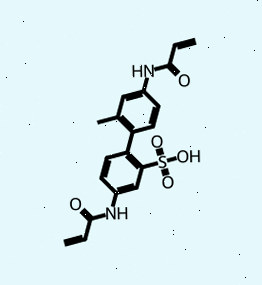 C=CC(=O)Nc1ccc(-c2ccc(NC(=O)C=C)cc2S(=O)(=O)O)c(C)c1